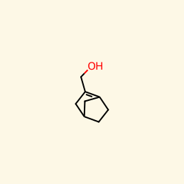 OCC1=C2CCC(C1)C2